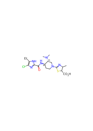 CCc1[nH]c(C(=O)N[C@@H]2CCN(C3=NC(C)C(C(=O)O)S3)C[C@H]2N(C)C)nc1Cl